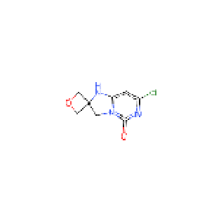 O=c1nc(Cl)cc2n1CC1(COC1)N2